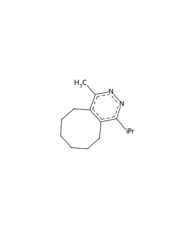 Cc1nnc(C(C)C)c2c1CCCCCC2